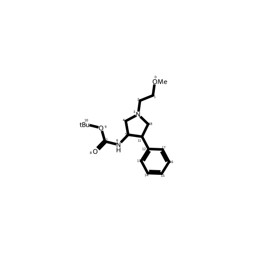 COCCN1CC(NC(=O)OC(C)(C)C)C(c2ccccc2)C1